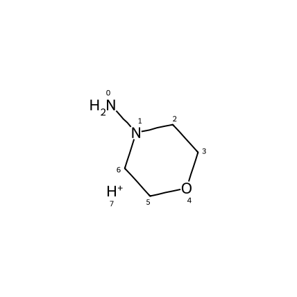 NN1CCOCC1.[H+]